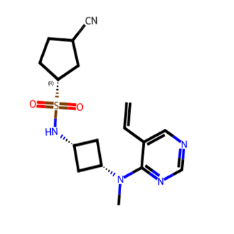 C=Cc1cncnc1N(C)[C@H]1C[C@@H](NS(=O)(=O)[C@@H]2CCC(C#N)C2)C1